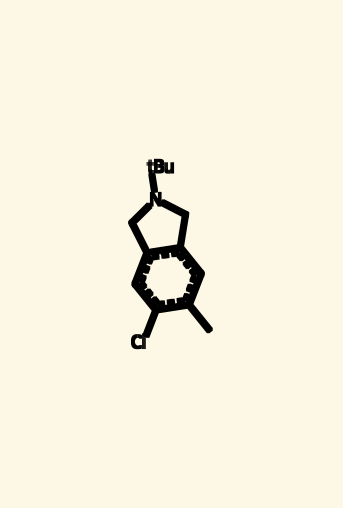 Cc1cc2c(cc1Cl)CN(C(C)(C)C)C2